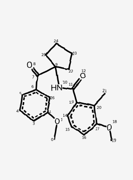 COc1cccc(C(=O)C2(NC(=O)c3cccc(OC)c3C)CCCC2)c1